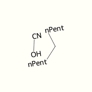 CCCCCCCCCCC.N#CO